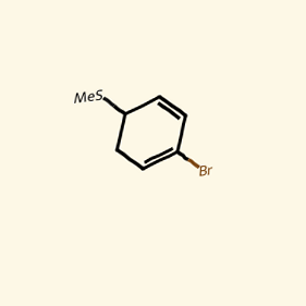 CSC1C=CC(Br)=CC1